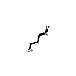 O=S=CCCO